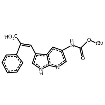 CC(C)(C)OC(=O)Nc1cnc2[nH]cc(/C=C(/C(=O)O)c3ccccc3)c2c1